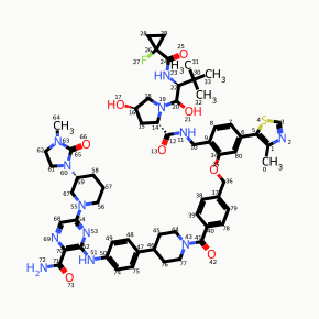 Cc1ncsc1-c1ccc(CNC(=O)[C@@H]2C[C@@H](O)CN2C(O)[C@@H](NC(=O)C2(F)CC2)C(C)(C)C)c(OCc2ccc(C(=O)N3CCC(c4ccc(Nc5nc(N6CCC[C@@H](N7CCN(C)C7=O)C6)cnc5C(N)=O)cc4)CC3)cc2)c1